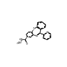 CCCCNC(=O)c1ccc2c(c1)N=C(c1ccccn1)c1ccccc1S2